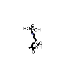 Cc1cn(CC/C=C/P(=O)(O)O)c(=O)[nH]c1=O